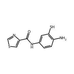 Nc1ccc(NC(=O)c2cscn2)cc1S